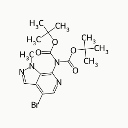 Cn1ncc2c(Br)cnc(N(C(=O)OC(C)(C)C)C(=O)OC(C)(C)C)c21